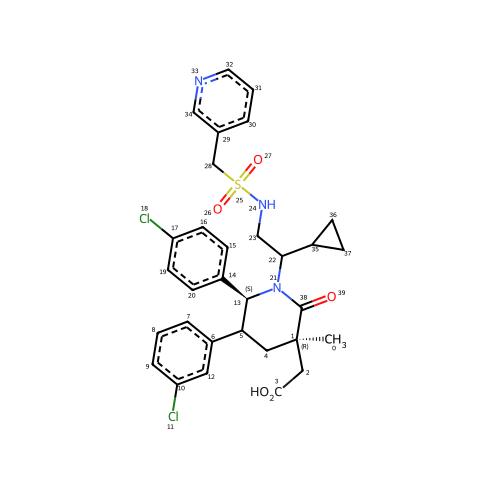 C[C@]1(CC(=O)O)CC(c2cccc(Cl)c2)[C@@H](c2ccc(Cl)cc2)N(C(CNS(=O)(=O)Cc2cccnc2)C2CC2)C1=O